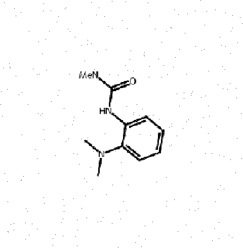 CNC(=O)Nc1ccccc1N(C)C